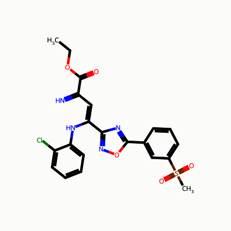 CCOC(=O)C(=N)/C=C(\Nc1ccccc1Cl)c1noc(-c2cccc(S(C)(=O)=O)c2)n1